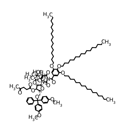 CCCCCCCCCCCCCCCCOc1cc(C(=O)n2c(=O)c(C)cn([C@@H]3O[C@H](COC(c4ccccc4)(c4ccc(OC)cc4)c4ccc(OC)cc4)C(OC(=O)CCC(C)=O)[C@@H]3O[Si](C)(C)C(C)(C)C)c2=O)cc(OCCCCCCCCCCCCCCCC)c1OCCCCCCCCCCCCCCCC